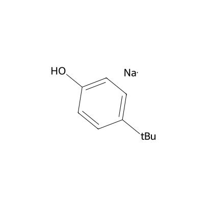 CC(C)(C)c1ccc(O)cc1.[Na]